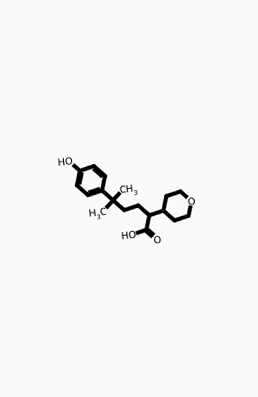 CC(C)(CCC(C(=O)O)C1CCOCC1)c1ccc(O)cc1